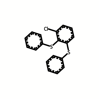 Clc1cccc(Sc2ccccc2)c1Sc1ccccc1